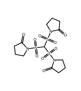 O=C1CCCN1S(=O)(=O)C(S(=O)(=O)N1CCCC1=O)S(=O)(=O)N1CCCC1=O